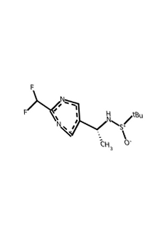 C[C@@H](N[S+]([O-])C(C)(C)C)c1cnc(C(F)F)nc1